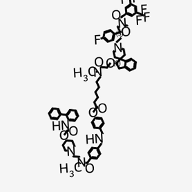 CN(CCCCCCC(=O)Oc1ccc(CNCc2ccc(C(=O)N(C)CCN3CCC(OC(=O)Nc4ccccc4-c4ccccc4)CC3)cc2)cc1)C(=O)CO[C@H]1Cc2ccccc2C12CCN(CC[C@]1(c3ccc(F)cc3)CN(C(=O)c3cc(C(F)(F)F)cc(C(F)(F)F)c3)CO1)CC2